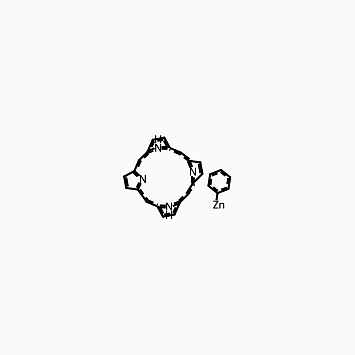 C1=Cc2cc3ccc(cc4nc(cc5ccc(cc1n2)[nH]5)C=C4)[nH]3.[Zn][c]1ccccc1